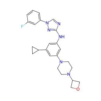 Fc1cccc(-n2cnc(Nc3cc(C4CC4)cc(N4CCN(C5COC5)CC4)c3)n2)c1